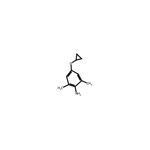 Cc1cc(OC2CC2)cc(C)c1N